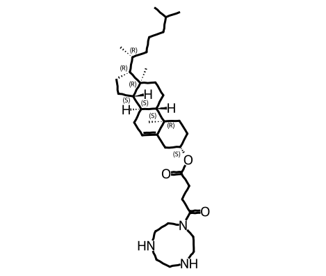 CC(C)CCC[C@@H](C)[C@H]1CC[C@H]2[C@@H]3CC=C4C[C@@H](OC(=O)CCC(=O)N5CCNCCNCC5)CC[C@]4(C)[C@H]3CC[C@]12C